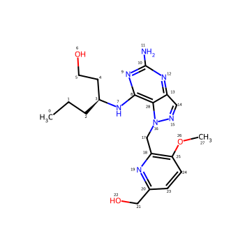 CCC[C@@H](CCO)Nc1nc(N)nc2cnn(Cc3nc(CO)ccc3OC)c12